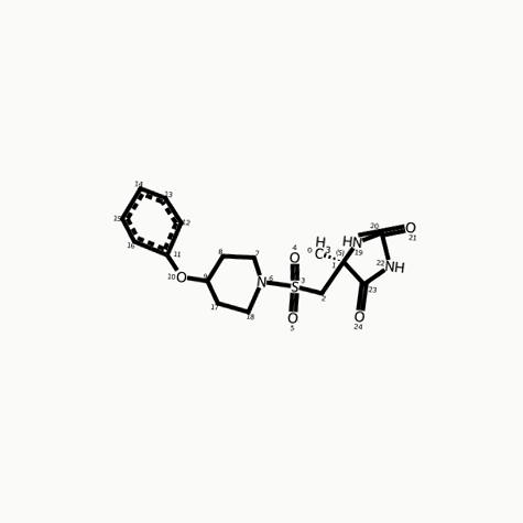 C[C@]1(CS(=O)(=O)N2CCC(Oc3ccccc3)CC2)NC(=O)NC1=O